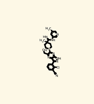 Cc1cncc(NC(=N)C2(C)CCN(c3nc4[nH]nc(-c5cccc(C#N)c5Cl)c4nc3CO)CC2)c1